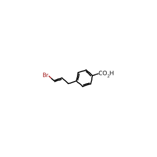 O=C(O)c1ccc(CC=CBr)cc1